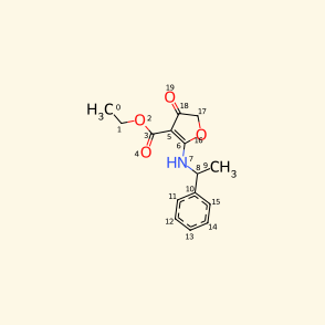 CCOC(=O)C1=C(NC(C)c2ccccc2)OCC1=O